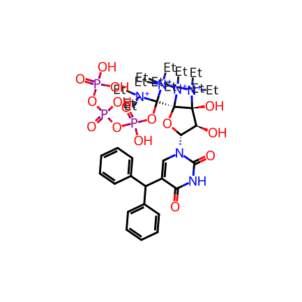 CC[N+](CC)(CC)C(OP(=O)(O)OP(=O)(O)OP(=O)(O)O)([C@@]1([N+](CC)(CC)CC)O[C@@H](n2cc(C(c3ccccc3)c3ccccc3)c(=O)[nH]c2=O)[C@H](O)[C@@]1(O)[N+](CC)(CC)CC)[N+](CC)(CC)CC